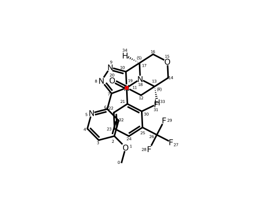 COc1ccnc(-c2nnc3n2C[C@@H]2COC[C@H]3N2C(=O)c2cccc(C(F)(F)F)c2F)c1